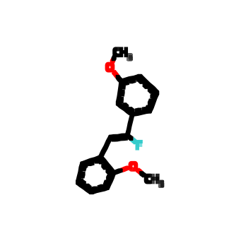 COc1cccc(C(F)=Cc2ccccc2OC)c1